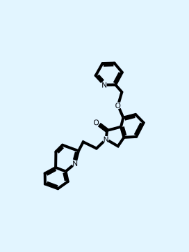 O=C1c2c(cccc2OCc2ccccn2)CN1CCc1ccc2ccccc2n1